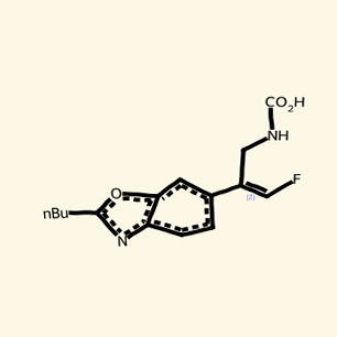 CCCCc1nc2ccc(/C(=C/F)CNC(=O)O)cc2o1